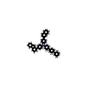 C1=CC2=C(CC1)c1cccc(-c3ccc(N(c4ccc(-c5ccc(-c6ccccc6)cc5)cc4)c4ccc(-c5ccc6ccccc6c5)cc4)cc3)c1C2